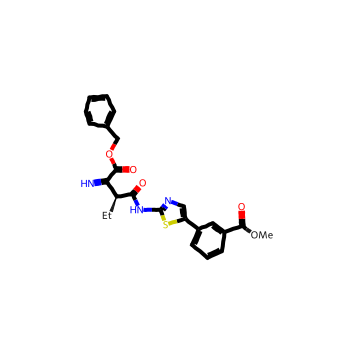 CC[C@@H](C(=N)C(=O)OCc1ccccc1)C(=O)Nc1ncc(-c2cccc(C(=O)OC)c2)s1